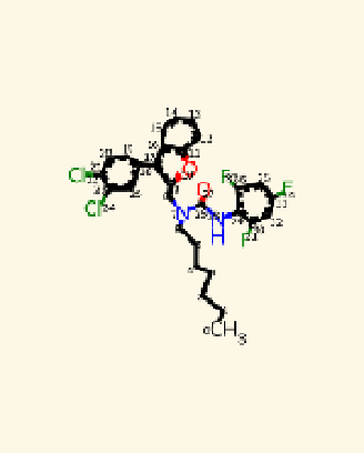 CCCCCCCN(Cc1oc2ccccc2c1-c1ccc(Cl)c(Cl)c1)C(=O)Nc1c(F)cc(F)cc1F